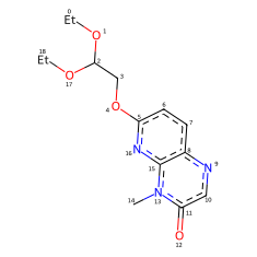 CCOC(COc1ccc2ncc(=O)n(C)c2n1)OCC